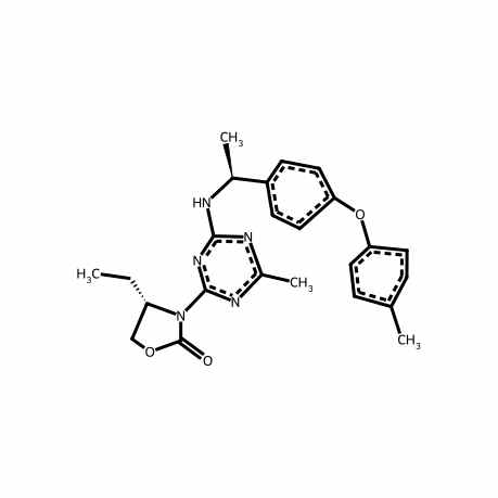 CC[C@H]1COC(=O)N1c1nc(C)nc(N[C@@H](C)c2ccc(Oc3ccc(C)cc3)cc2)n1